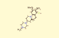 C=Cc1c(N2CCC(N3CCN(C)CC3)CC2)cc(OC)c([N+](=O)[O-])c1F